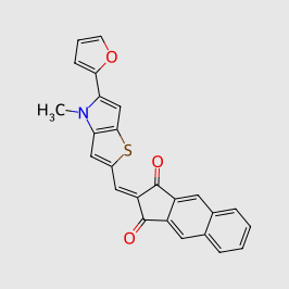 Cn1c(-c2ccco2)cc2sc(C=C3C(=O)c4cc5ccccc5cc4C3=O)cc21